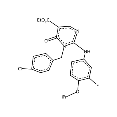 CCOC(=O)c1cnc(Nc2ccc(OC(C)C)c(F)c2)n(Cc2ccc(Cl)cc2)c1=O